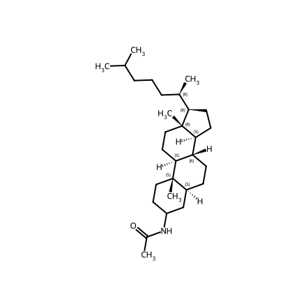 CC(=O)NC1CC[C@@]2(C)[C@@H](CC[C@@H]3[C@@H]2CC[C@]2(C)[C@@H]([C@H](C)CCCC(C)C)CC[C@@H]32)C1